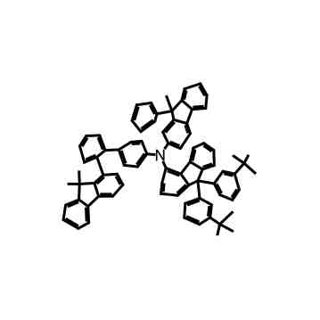 CC(C)(C)c1cccc(C2(c3cccc(C(C)(C)C)c3)c3ccccc3-c3c(N(c4ccc(-c5ccccc5-c5cccc6c5C(C)(C)c5ccccc5-6)cc4)c4ccc5c(c4)C(C)(c4ccccc4)c4ccccc4-5)cccc32)c1